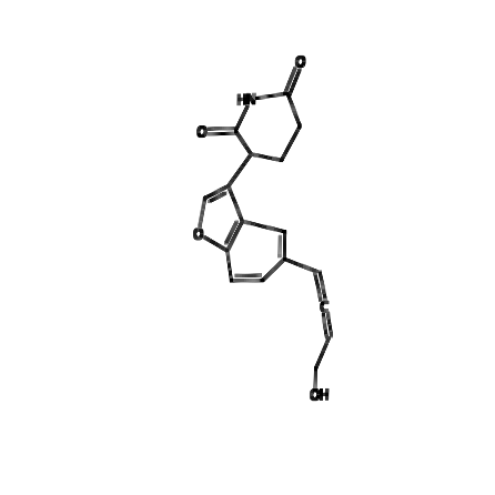 O=C1CCC(c2coc3ccc(C=C=CCO)cc23)C(=O)N1